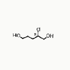 OCCC[C@@H](Cl)CO